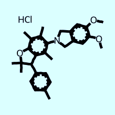 COc1cc2c(cc1OC)CN(c1c(C)c(C)c3c(c1C)C(c1ccc(C)cc1)C(C)(C)O3)C2.Cl